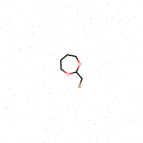 BrCC1OCCCCO1